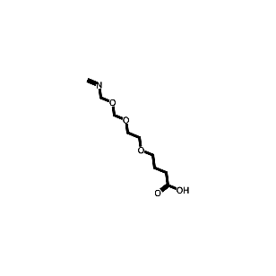 C=NCOCOCCOCCCC(=O)O